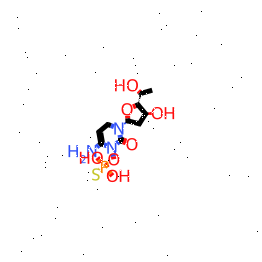 CC(O)[C@H]1O[C@@H](N2CC=C(N)N(OP(O)(O)=S)C2=O)C[C@@H]1O